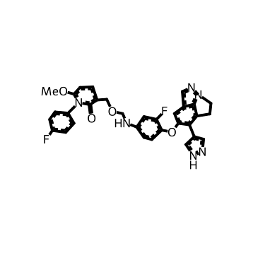 COc1ccc(COCNc2ccc(Oc3cc4cnn5c4c(c3-c3cn[nH]c3)CC5)c(F)c2)c(=O)n1-c1ccc(F)cc1